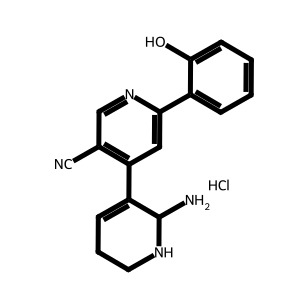 Cl.N#Cc1cnc(-c2ccccc2O)cc1C1=CCCNC1N